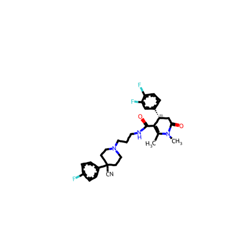 CC1=C(C(=O)NCCCN2CCC(C#N)(c3ccc(F)cc3)CC2)[C@H](c2ccc(F)c(F)c2)CC(=O)N1C